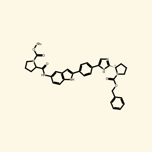 CC(C)(C)OC(=O)N1CCCC1C(=O)Nc1ccc2[nH]c(-c3ccc(-c4cnc([C@@H]5CCCN5C(=O)OCc5ccccc5)[nH]4)cc3)cc2c1